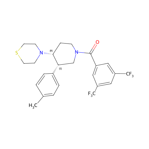 Cc1ccc([C@H]2CN(C(=O)c3cc(C(F)(F)F)cc(C(F)(F)F)c3)CC[C@H]2N2CCSCC2)cc1